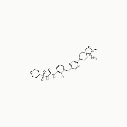 C[C@@H]1OCC2(CCN(c3cnc(Sc4cccc(NC(=O)NS(=O)(=O)C5CCOCC5)c4Cl)cn3)CC2)[C@@H]1N